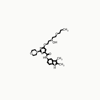 CCCOCCN(O)CCOc1cc(C(=O)Nc2ccc3[nH]c(C)c(C)c3c2)nc(N2CCOCC2)n1